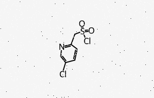 O=S(=O)(Cl)Cc1ccc(Cl)cn1